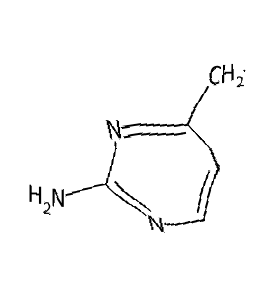 [CH2]c1ccnc(N)n1